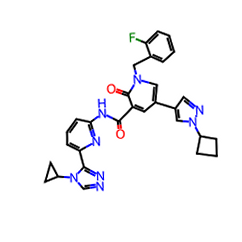 O=C(Nc1cccc(-c2nncn2C2CC2)n1)c1cc(-c2cnn(C3CCC3)c2)cn(Cc2ccccc2F)c1=O